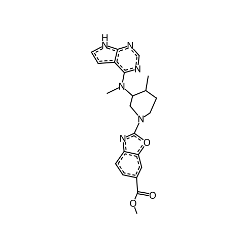 COC(=O)c1ccc2nc(N3CCC(C)C(N(C)c4ncnc5[nH]ccc45)C3)oc2c1